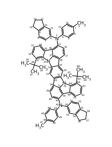 Cc1ccc(N(c2ccc3c(c2)CCC3)c2ccc3c4cc5c(cc4n4c6c(C(C)(C)C)cccc6c2c34)c2ccc(N(c3ccc(C)cc3)c3ccc4c(c3)CCC4)c3c4cccc(C(C)(C)C)c4n5c23)cc1